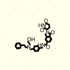 O=C1CCC(N2Cc3cc(C(=O)NCc4ccc(CN(CCO)CCc5ccccc5)cc4)ccc3C2=O)C(=O)N1